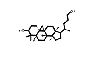 CC(=O)O[C@H]1CC[C@]23C[C@]24CC[C@]2(C)[C@@H]([C@H](C)CCCO)CC[C@@]2(C)[C@@H]4CC[C@H]3C1(C)C